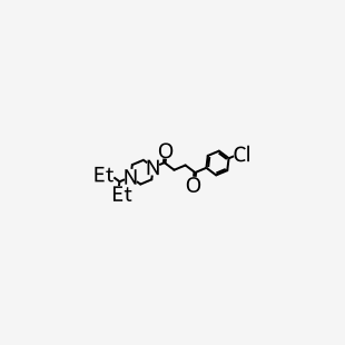 CCC(CC)N1CCN(C(=O)CCC(=O)c2ccc(Cl)cc2)CC1